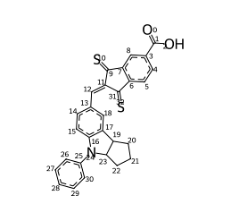 O=C(O)c1ccc2c(c1)C(=S)C(=Cc1ccc3c(c1)C1CCCC1N3c1ccccc1)C2=S